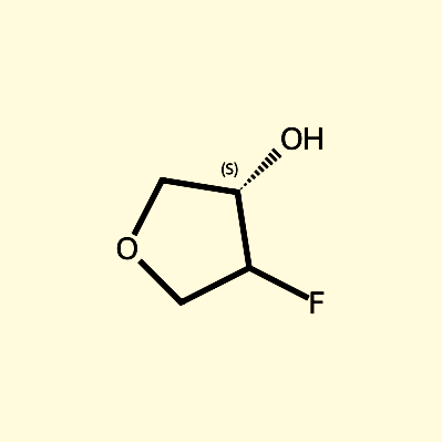 O[C@H]1COCC1F